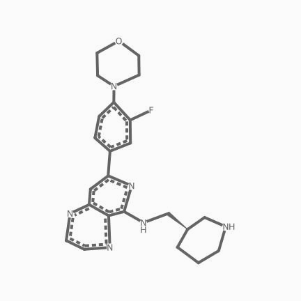 Fc1cc(-c2cc3nccnc3c(NC[C@@H]3CCCNC3)n2)ccc1N1CCOCC1